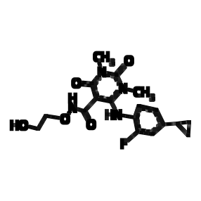 Cn1c(Nc2ccc(C3CC3)cc2F)c(C(=O)NOCCO)c(=O)n(C)c1=O